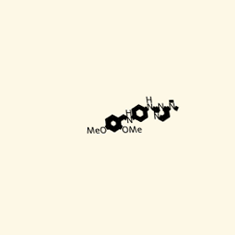 COc1ccc(CNC2CCC(Nc3nccc(N(C)C)n3)CC2)c(OC)c1